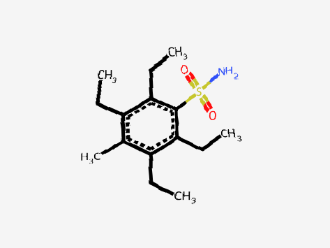 CCc1c(C)c(CC)c(CC)c(S(N)(=O)=O)c1CC